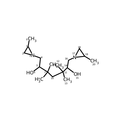 CC1CN1CC(O)C(C)(C)CC(C)(C)C(O)CN1CC1C